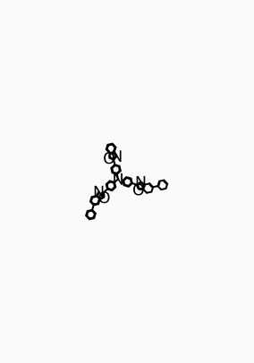 C1=CCCC(C2=Cc3nc(-c4ccc(N(c5ccc(-c6nc7ccccc7o6)cc5)c5ccc(-c6nc7ccc(-c8ccccc8)cc7o6)cc5)cc4)oc3CC2)=C1